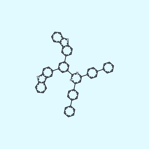 c1ccc(-c2ccc(-c3cc(-c4ccc(-c5ccccc5)cc4)nc(-c4cc(-c5ccc6sc7ccccc7c6c5)cc(-c5ccc6sc7ccccc7c6c5)c4)n3)cc2)cc1